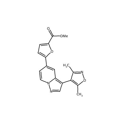 COC(=O)c1ccc(-c2ccn3ncc(-c4c(C)noc4C)c3c2)o1